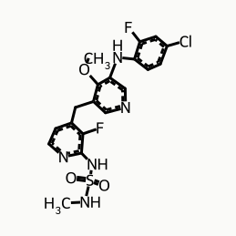 CNS(=O)(=O)Nc1nccc(Cc2cncc(Nc3ccc(Cl)cc3F)c2OC)c1F